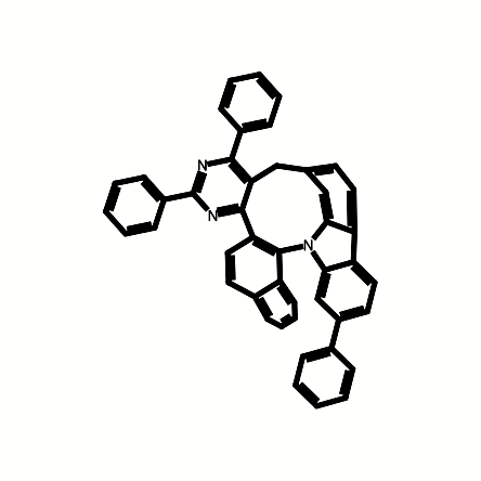 c1ccc(-c2ccc3c4ccc5cc4n(c3c2)-c2c(ccc3ccccc23)-c2nc(-c3ccccc3)nc(-c3ccccc3)c2C5)cc1